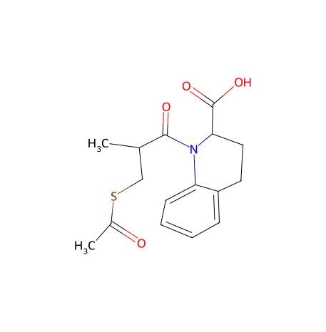 CC(=O)SCC(C)C(=O)N1c2ccccc2CCC1C(=O)O